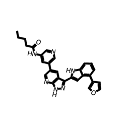 CCCCC(=O)Nc1cncc(-c2cnc3[nH]nc(-c4cc5c(-c6ccoc6)cccc5[nH]4)c3c2)c1